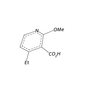 CCc1ccnc(OC)c1C(=O)O